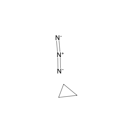 C1CC1.[N-]=[N+]=[N-]